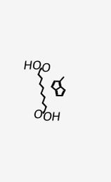 CC1=C2C=CC=C2C=C1.O=C(O)CCCCCCCCC(=O)O